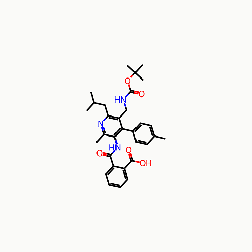 Cc1ccc(-c2c(CNC(=O)OC(C)(C)C)c(CC(C)C)nc(C)c2NC(=O)c2ccccc2C(=O)O)cc1